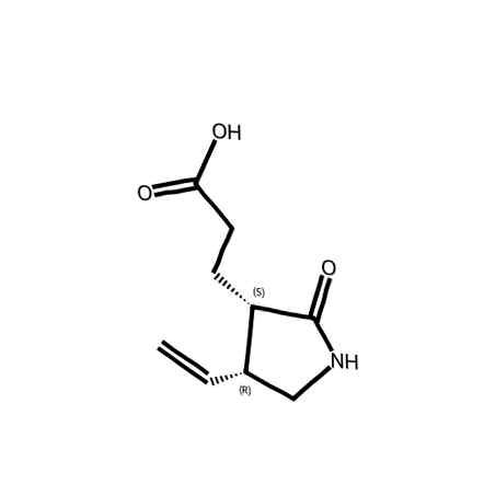 C=C[C@H]1CNC(=O)[C@H]1CCC(=O)O